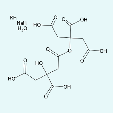 O.O=C(O)CC(O)(CC(=O)OC(CC(=O)O)(CC(=O)O)C(=O)O)C(=O)O.[KH].[NaH]